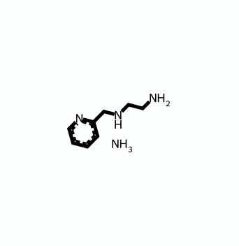 N.NCCNCc1ccccn1